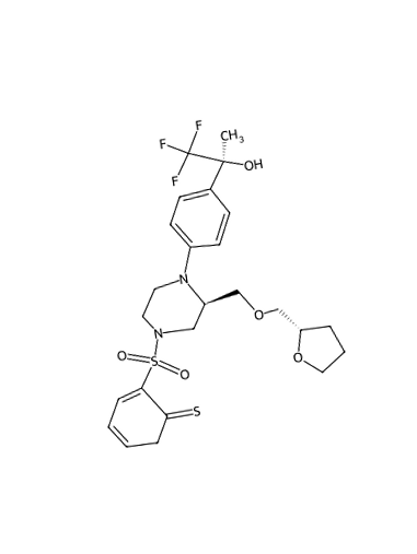 C[C@](O)(c1ccc(N2CCN(S(=O)(=O)C3=CC=CCC3=S)C[C@@H]2COC[C@@H]2CCCO2)cc1)C(F)(F)F